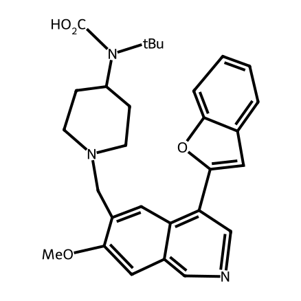 COc1cc2cncc(-c3cc4ccccc4o3)c2cc1CN1CCC(N(C(=O)O)C(C)(C)C)CC1